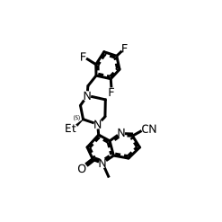 CC[C@H]1CN(Cc2c(F)cc(F)cc2F)CCN1c1cc(=O)n(C)c2ccc(C#N)nc12